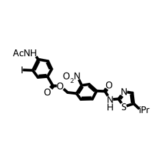 CC(=O)Nc1ccc(C(=O)OCc2ccc(C(=O)Nc3ncc(C(C)C)s3)cc2[N+](=O)[O-])cc1I